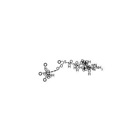 CC(=O)N[C@@H]1[C@@H](OCc2ccccc2)[C@@H](OCc2ccccc2)[C@@H](COCc2ccccc2)O[C@@H]1C#CC#CCOCCOCCC(Cc1ccccc1)SCCNC(=O)CCNC(=O)[C@H](O)C(C)(C)COP(=O)(O)OP(=O)(O)OC[C@H]1O[C@@H](n2cnc3c(N)ncnc32)[C@H](O)[C@@H]1OP(=O)(O)O